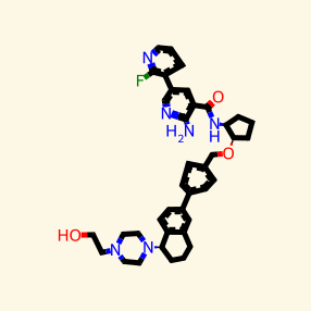 Nc1ncc(-c2cccnc2F)cc1C(=O)N[C@H]1CCC[C@@H]1OCc1ccc(-c2ccc3c(c2)CCC[C@@H]3N2CCN(CCO)CC2)cc1